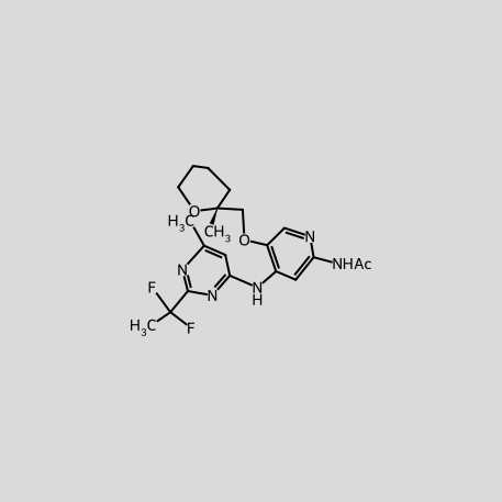 CC(=O)Nc1cc(Nc2cc(C)nc(C(C)(F)F)n2)c(OC[C@@]2(C)CCCCO2)cn1